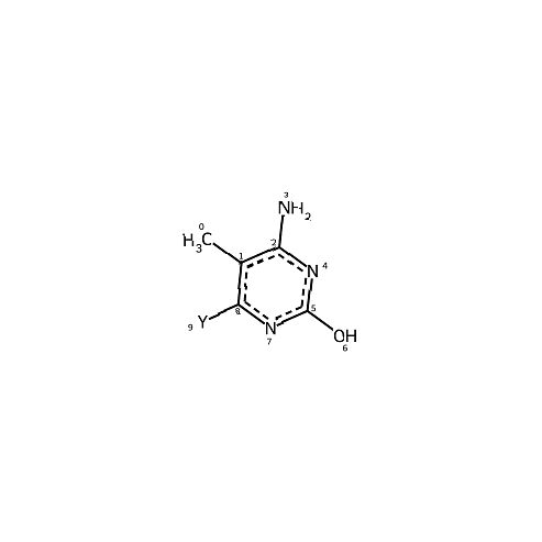 Cc1c(N)nc(O)n[c]1[Y]